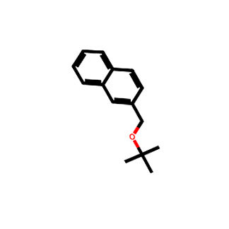 CC(C)(C)OCc1ccc2ccccc2c1